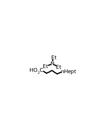 CCCCCCCCCCC(=O)O.CCN(CC)CC